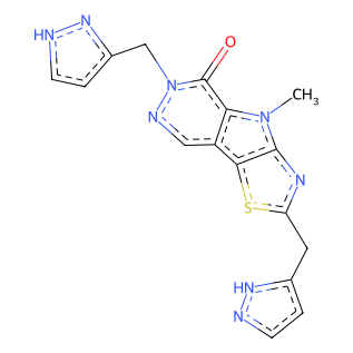 Cn1c2nc(Cc3ccn[nH]3)sc2c2cnn(Cc3cc[nH]n3)c(=O)c21